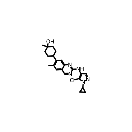 Cc1cc2cnc(Nc3cnn(C4CC4)c3Cl)nc2cc1C1CCC(C)(O)CC1